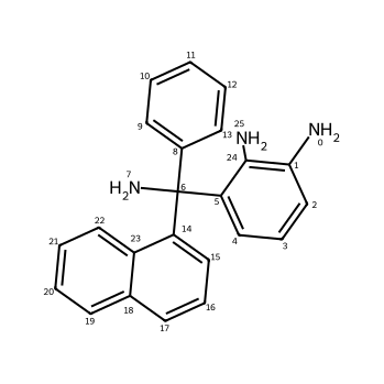 Nc1cccc(C(N)(c2ccccc2)c2cccc3ccccc23)c1N